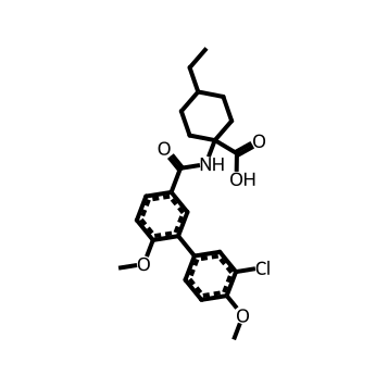 CCC1CCC(NC(=O)c2ccc(OC)c(-c3ccc(OC)c(Cl)c3)c2)(C(=O)O)CC1